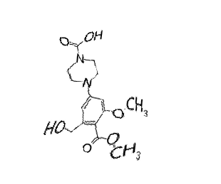 COC(=O)c1c(CO)cc(N2CCN(C(=O)O)CC2)cc1OC